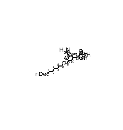 CCCCCCCCCCCCCCCCOCC(CC(COP(=O)(O)O)[N+](C)(C)C)OCCN